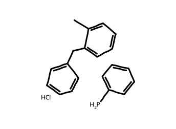 Cc1ccccc1Cc1ccccc1.Cl.Pc1ccccc1